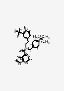 CC(C)(C)c1ccc(CN(CCc2ccc(F)c(C(F)(F)F)c2)C(=O)c2nccc3cc[nH]c23)cc1